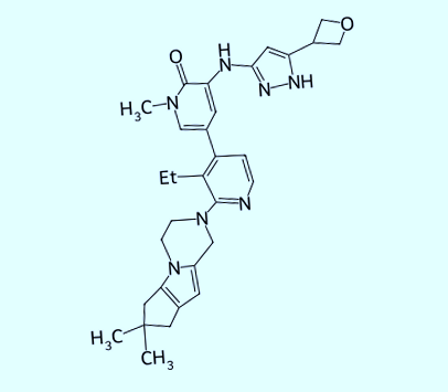 CCc1c(-c2cc(Nc3cc(C4COC4)[nH]n3)c(=O)n(C)c2)ccnc1N1CCn2c(cc3c2CC(C)(C)C3)C1